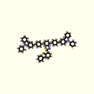 c1ccc(-n2c3ccccc3c3cc(-c4ccc(-c5ccc(-c6ccc(-c7ccc8c(c7)c7ccccc7n8-c7ccccc7)cc6)c6sc(-c7cccc8c7sc7ccccc78)nc56)cc4)ccc32)cc1